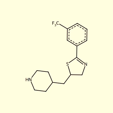 FC(F)(F)c1cccc(C2=NCC(CC3CCNCC3)S2)c1